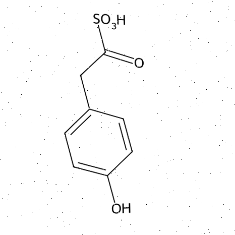 O=C(Cc1ccc(O)cc1)S(=O)(=O)O